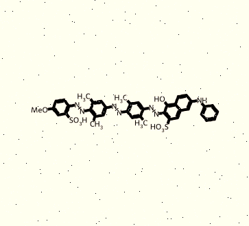 COc1ccc(N=Nc2c(C)cc(N=Nc3cc(C)c(N=Nc4c(S(=O)(=O)O)cc5cc(Nc6ccccc6)ccc5c4O)cc3C)cc2C)c(S(=O)(=O)O)c1